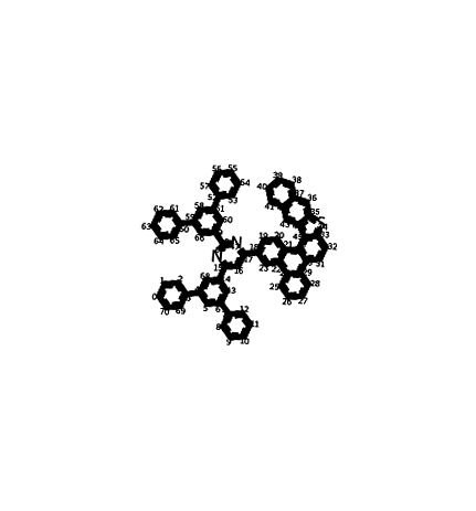 c1ccc(-c2cc(-c3ccccc3)cc(-c3cc(-c4ccc5c(c4)c4ccccc4c4ccc6sc7cc8ccccc8cc7c6c45)nc(-c4cc(-c5ccccc5)cc(-c5ccccc5)c4)n3)c2)cc1